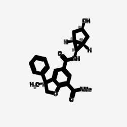 CNC(=O)c1cc(C(=O)N[C@H]2[C@@H]3C[C@@H](O)C[C@@H]32)cc2c1OC[C@@]2(C)c1ccccc1